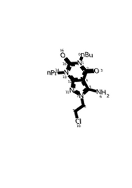 CCCCn1c(=O)c2c(N)n(CCCl)nc2n(CCC)c1=O